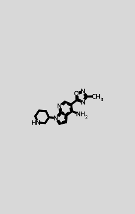 Cc1noc(-c2cnc3c(ccn3C3CCCNC3)c2N)n1